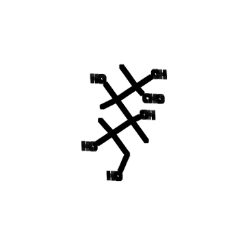 CC(O)(C=O)C(C)(O)C(C)(O)C(C)(O)CO